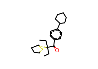 CCC(CC)(C(=O)c1ccc(C2CCCCC2)cc1)[S+]1CCCC1